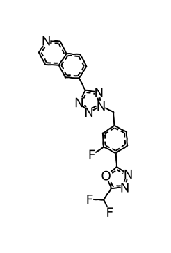 Fc1cc(Cn2nnc(-c3ccc4cnccc4c3)n2)ccc1-c1nnc(C(F)F)o1